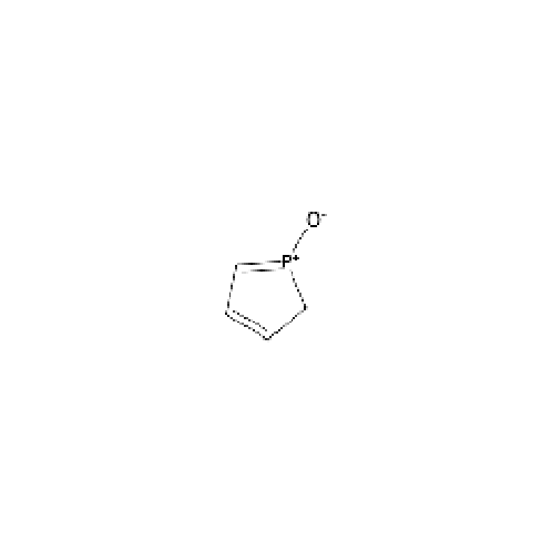 [O-][P+]1=CC=CC1